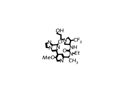 CCN(C(=O)NC1CN(CCCO)CC1C(F)(F)F)[C@H](C)c1cc(-c2cn3ccnc3c(Cl)n2)c(OC)cn1